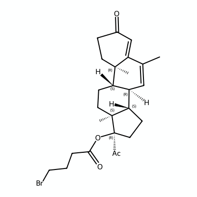 CC(=O)[C@@]1(OC(=O)CCCBr)CC[C@H]2[C@@H]3C=C(C)C4=CC(=O)CC[C@]4(C)[C@H]3CC[C@@]21C